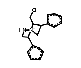 ClCC1C(c2ccccc2)C[N+]12NCC2c1ccccc1